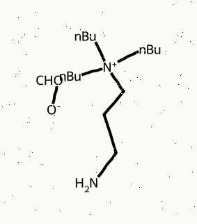 CCCC[N+](CCCC)(CCCC)CCCN.O=C[O-]